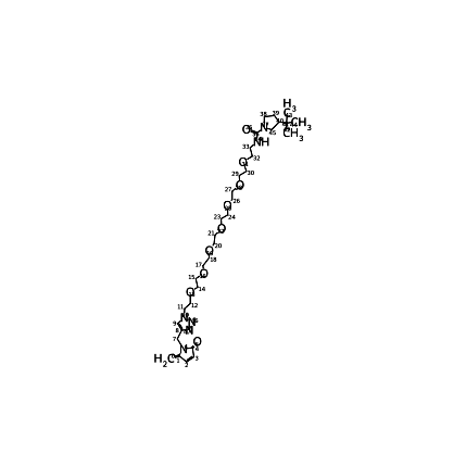 C=C1C=CC(=O)N1Cc1cn(CCOCCOCCOCCOCCOCCOCCOCCNC(=O)N2CC[C@@H](C(C)(C)C)C2)nn1